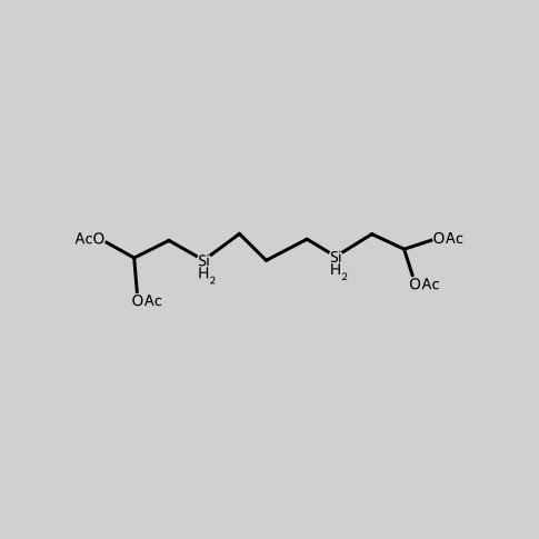 CC(=O)OC(C[SiH2]CCC[SiH2]CC(OC(C)=O)OC(C)=O)OC(C)=O